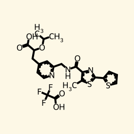 Cc1sc(-c2cccs2)nc1C(=O)NCc1cc(CC(OC(C)C)C(=O)O)ccn1.O=C(O)C(F)(F)F